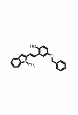 Cn1c(C=Cc2cc(OCc3ccccc3)ccc2O)cc2ccccc21